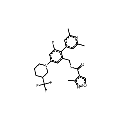 Cc1cc(-c2c(F)cc(N3CCCC(C(F)(F)F)C3)cc2CNC(=O)c2conc2C)cc(C)n1